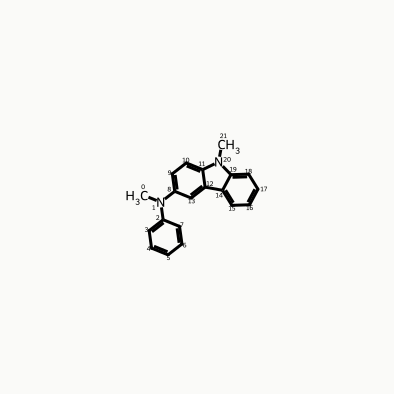 CN(c1ccccc1)c1ccc2c(c1)c1ccccc1n2C